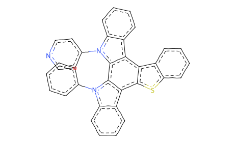 c1ccc(-n2c3ccccc3c3c4sc5ccccc5c4c4c5ccccc5n(-c5ccncc5)c4c32)cc1